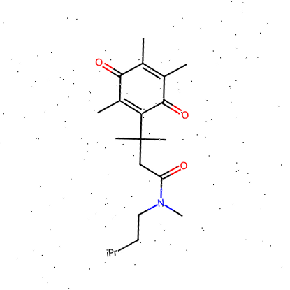 CC1=C(C)C(=O)C(C(C)(C)CC(=O)N(C)CCC(C)C)=C(C)C1=O